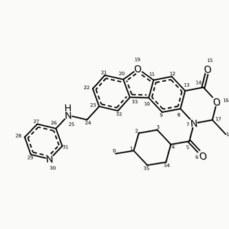 CC1CCC(C(=O)N2c3cc4c(cc3C(=O)OC2C)oc2ccc(CNc3cccnc3)cc24)CC1